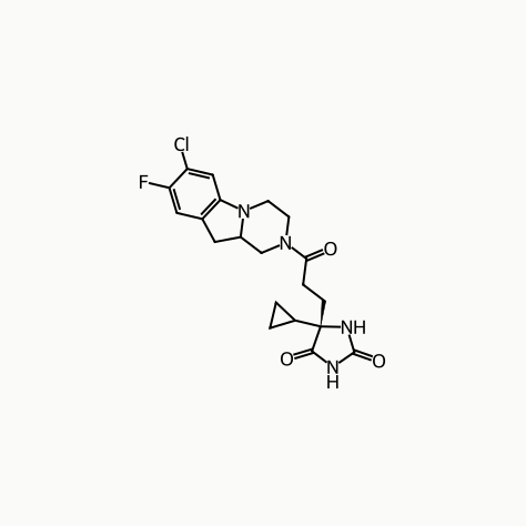 O=C1NC(=O)[C@](CCC(=O)N2CCN3c4cc(Cl)c(F)cc4CC3C2)(C2CC2)N1